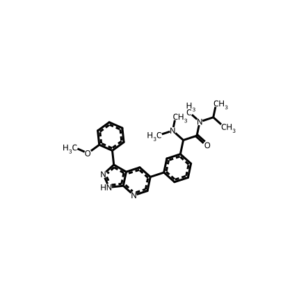 COc1ccccc1-c1n[nH]c2ncc(-c3cccc(C(C(=O)N(C)C(C)C)N(C)C)c3)cc12